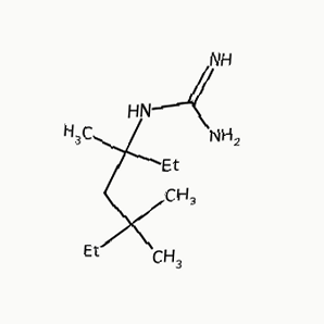 CCC(C)(C)CC(C)(CC)NC(=N)N